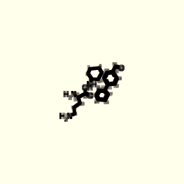 NC1CCCCC1.NCCC[C@H](N)C(=O)O.O=Cc1ccc(-c2ccccc2)cc1